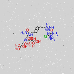 N=C(NCCCCc1ccc2cc(CC[C@H](NCCCN(C[C@H](O)C[C@H](O)[C@H](O)CO)C[C@H](O)[C@@H](O)[C@H](O)[C@H](O)CO)C(N)=O)ccc2c1)NC(=O)c1nc(Cl)c(N)nc1N